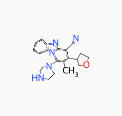 Cc1c(C2CCOC2)c(C#N)c2nc3ccccc3n2c1N1CCNCC1